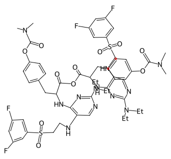 CCN(CC)c1ncc(NCCS(=O)(=O)c2cc(F)cc(F)c2)c(NC(Cc2ccc(OC(=O)N(C)C)cc2)C(=O)OC(=O)C(Cc2ccc(OC(=O)N(C)C)cc2)Nc2nc(N(CC)CC)ncc2NCS(=O)(=O)c2cc(F)cc(F)c2)n1